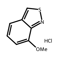 COc1cccc2csnc12.Cl